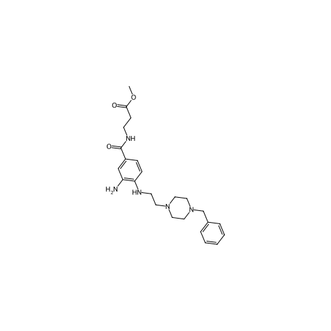 COC(=O)CCNC(=O)c1ccc(NCCN2CCN(Cc3ccccc3)CC2)c(N)c1